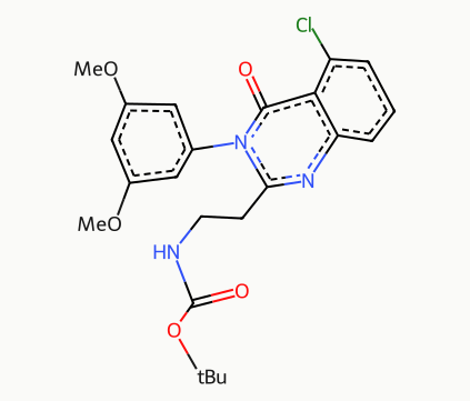 COc1cc(OC)cc(-n2c(CCNC(=O)OC(C)(C)C)nc3cccc(Cl)c3c2=O)c1